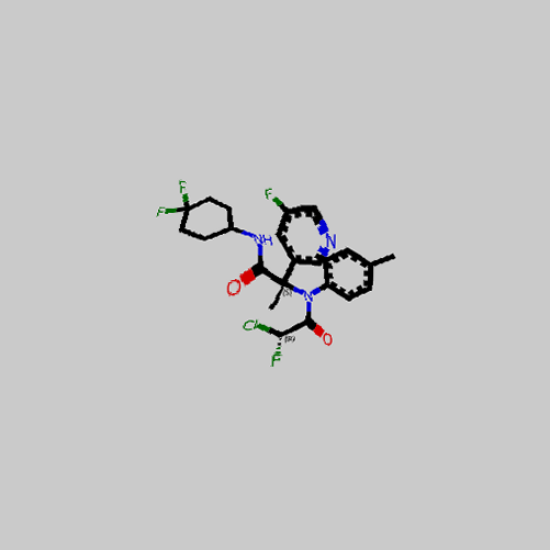 Cc1ccc(N(C(=O)[C@H](F)Cl)[C@](C)(C(=O)NC2CCC(F)(F)CC2)c2cncc(F)c2)cc1